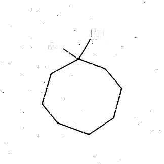 BC1(C(C)CC)CCCCCCC1